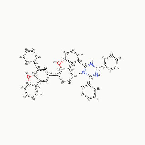 c1ccc(-c2nc(-c3ccccc3)nc(-c3cccc4oc5c(-c6cc(-c7ccccc7)c7oc8ccccc8c7c6)cccc5c34)n2)cc1